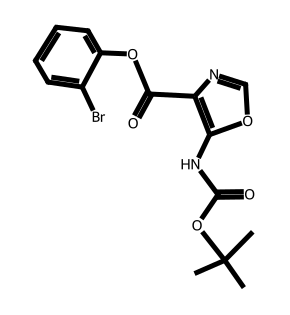 CC(C)(C)OC(=O)Nc1ocnc1C(=O)Oc1ccccc1Br